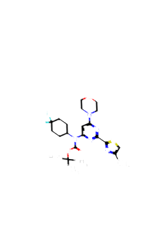 Cc1csc(-c2nc(N3CCOCC3)cc(N(C(=O)OC(C)(C)C)C3CCC(F)(F)CC3)n2)n1